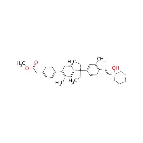 CCC(CC)(c1ccc(C=CC2(O)CCCCC2)c(C)c1)c1ccc(-c2ccc(CC(=O)OC)cc2)c(C)c1